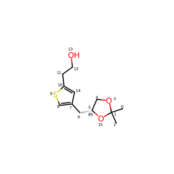 CC1(C)OC[C@@H](Cc2csc(CCO)c2)O1